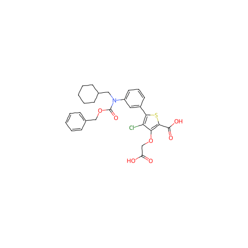 O=C(O)COc1c(C(=O)O)sc(-c2cccc(N(CC3CCCCC3)C(=O)OCc3ccccc3)c2)c1Cl